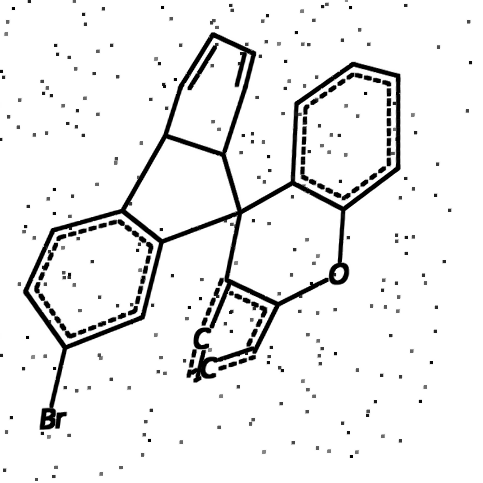 Brc1ccc2c(c1)C1(c3ccccc3Oc3ccccc31)C1C=CC=CC21